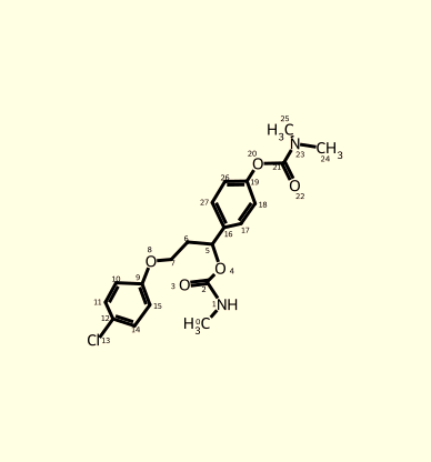 CNC(=O)OC(CCOc1ccc(Cl)cc1)c1ccc(OC(=O)N(C)C)cc1